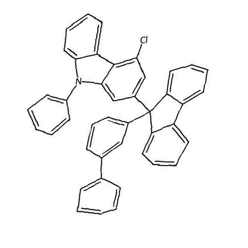 Clc1cc(C2(c3cccc(-c4ccccc4)c3)c3ccccc3-c3ccccc32)cc2c1c1ccccc1n2-c1ccccc1